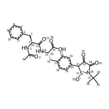 CC(=O)N[C@@H](Cc1ccccc1)C(=O)N[C@@H](Cc1ccc(C2C(=O)C(=O)N(C(C)(C)C)[S+]2[O-])cc1)C(=O)O